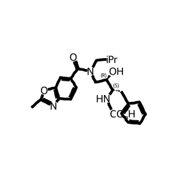 Cc1nc2ccc(C(=O)N(CC(C)C)C[C@@H](O)[C@H](Cc3ccccc3)NC(=O)O)cc2o1